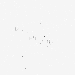 FC(F)(F)c1nc(C2=CCC(NCCCc3ccc(Br)cc3)C=C2)no1